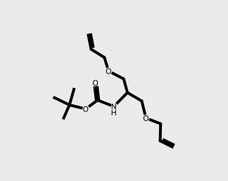 C=CCOCC(COCC=C)NC(=O)OC(C)(C)C